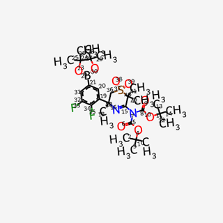 CC(C)(C)OC(=O)N(C(=O)OC(C)(C)C)C1=N[C@](C)(c2cc(B3OC(C)(C)C(C)(C)O3)cc(F)c2F)CS(=O)(=O)C1(C)C